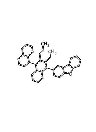 C=C/C=c1/c(-c2cccc3ccccc23)c2ccccc2c(-c2ccc3oc4ccccc4c3c2)/c1=C/C